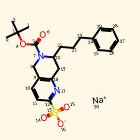 CC(C)(C)OC(=O)N1Cc2ccc(S(=O)(=O)[O-])nc2CC1CCCc1ccccc1.[Na+]